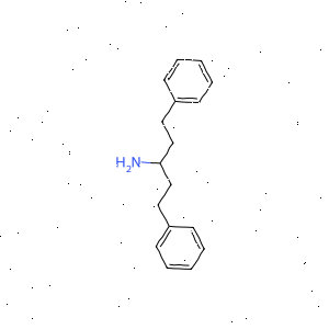 NC(CCc1ccccc1)CCc1ccccc1